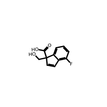 O=C(O)C1(CO)C=Cc2c(F)cccc21